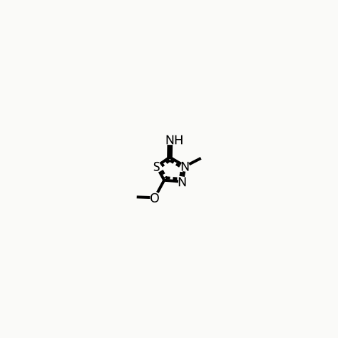 COc1nn(C)c(=N)s1